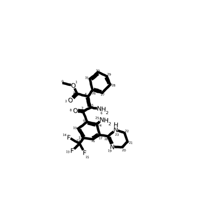 COC(=O)C(=C(N)C(=O)c1cc(C(F)(F)F)cc(C2=NCCCN2)c1N)c1ccccc1